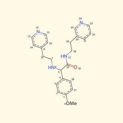 COc1ccc(C(NCCc2ccncc2)C(=O)NCCc2cccnc2)cc1